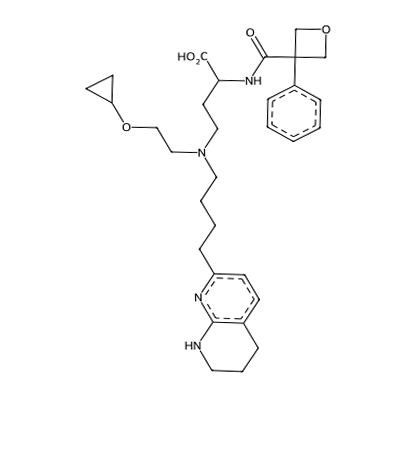 O=C(O)C(CCN(CCCCc1ccc2c(n1)NCCC2)CCOC1CC1)NC(=O)C1(c2ccccc2)COC1